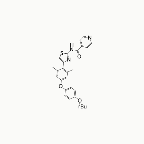 CCCCOc1ccc(Oc2cc(C)c(-c3csc(NC(=O)c4ccncc4)n3)c(C)c2)cc1